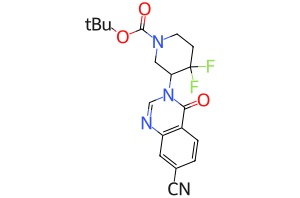 CC(C)(C)OC(=O)N1CCC(F)(F)C(n2cnc3cc(C#N)ccc3c2=O)C1